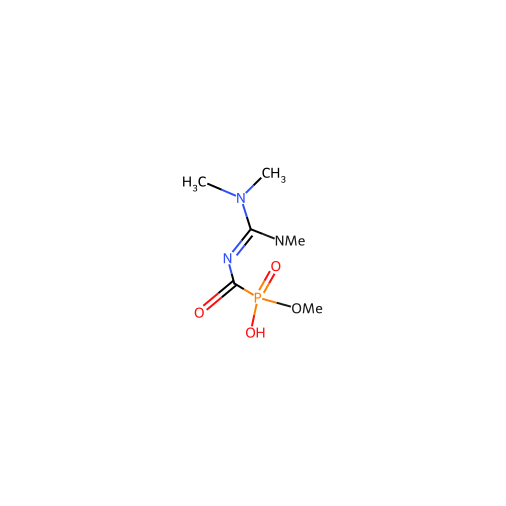 CNC(=NC(=O)P(=O)(O)OC)N(C)C